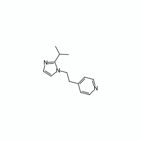 CC(C)c1nccn1CCc1ccncc1